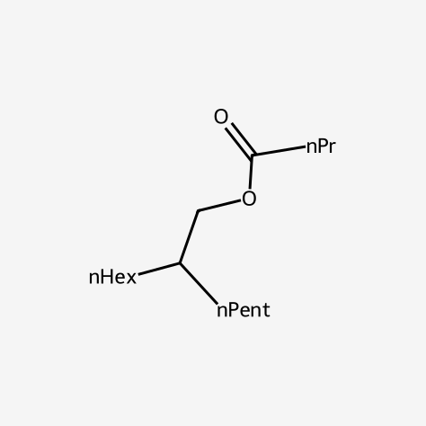 CCCCCCC(CCCCC)COC(=O)CCC